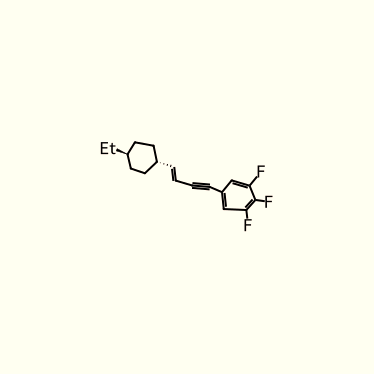 CC[C@H]1CC[C@H](C=CC#Cc2cc(F)c(F)c(F)c2)CC1